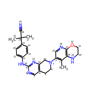 Cc1c(N2CCc3cnc(Nc4ccc(C(C)(C)C#N)cc4)nc3C2)cnc2c1NCCO2